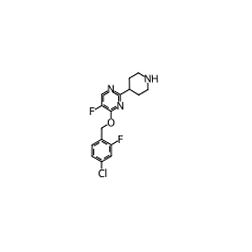 Fc1cc(Cl)ccc1COc1nc(C2CCNCC2)ncc1F